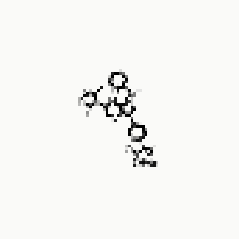 COC(=O)C1(c2ccc(-c3cn([C@@H](C)c4ccccn4)c4nc(-c5c(C)noc5C)cnc34)cc2)CC1